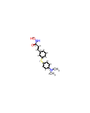 CN(C)c1ccc(Sc2cccc(C=CC(=O)NO)c2)cc1